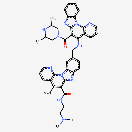 CNc1c(C(=O)NCCN(C)C)c2nc3ccc(CNc4c(C(=O)N5CC(C)NC(C)C5)c5nc6ccccc6n5c5ncccc45)cc3n2c2ncccc12